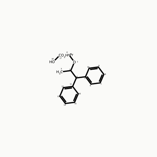 CCCOC(C)C(c1ccccc1)c1ccccc1.O=C(O)O